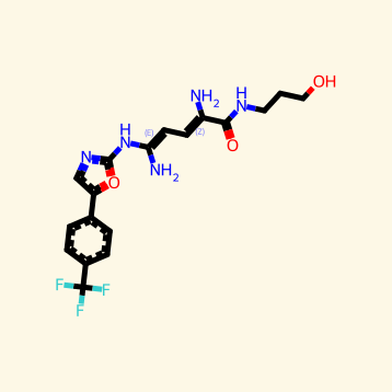 N/C(=C\C=C(/N)Nc1ncc(-c2ccc(C(F)(F)F)cc2)o1)C(=O)NCCCO